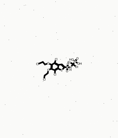 CCC(CC)(NS(=O)(=O)c1cc2c(Cl)c(OCCCl)c(OCCCl)c(Cl)c2s1)P(=O)(O)O